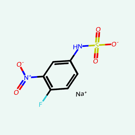 O=[N+]([O-])c1cc(NS(=O)(=O)[O-])ccc1F.[Na+]